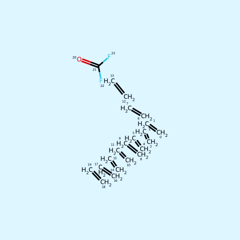 C=C.C=C.C=C.C=C.C=C.C=C.C=C.C=C.C=C.C=C.O=C(F)F